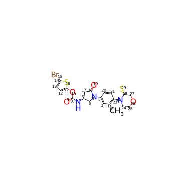 Cc1cc(N2CC(NC(=O)Oc3ccc(Br)s3)CC2=O)ccc1N1CCOCC1=S